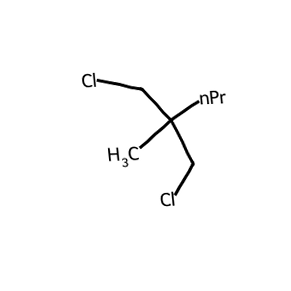 [CH2]CCC(C)(CCl)CCl